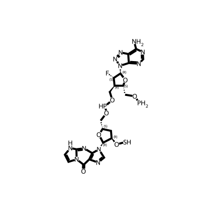 Nc1ncnc2c1nnn2[C@@H]1O[C@H](COP)[C@@H](COPOC[C@@H]2C[C@@H](OS)[C@H](n3cnc4c(=O)n5cc[nH]c5nc43)O2)[C@@H]1F